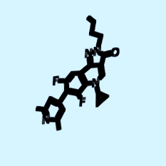 CCCCn1nc2c3cc(F)c(-c4cc(C)nc(C)c4)c(F)c3n(C3CC3)cc-2c1=O